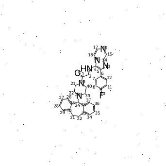 O=C(CNc1c(-c2ccc(F)cc2)nc2cnccn12)N1CCN(C2c3ccccc3CCc3ccccc32)CC1